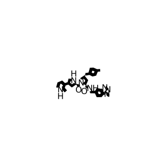 C=C1NC=CC=C1C1CN[C@@H](C(=O)N2C[C@H](Cc3ccc(C)cc3)C[C@H]2C(=O)NCc2ccc3c(c2)nnn3C)C1